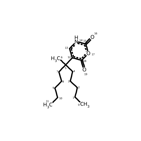 CCCCCC(C)(CCCCC)c1c[nH]c(=O)oc1=O